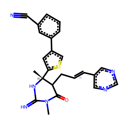 CN1C(=N)N[C@](C)(c2cc(-c3cccc(C#N)c3)cs2)C(C/C=C/c2cncnc2)C1=O